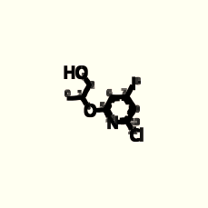 CC(CO)Oc1cc(I)cc(Cl)n1